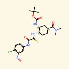 CN(C)C(=O)[C@H]1CC[C@H](NC(=S)C(=O)Nc2ccc(Cl)c(N=O)c2)[C@H](NC(=O)OC(C)(C)C)C1